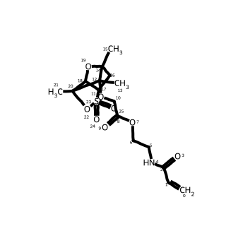 C=CC(=O)NCCOC(=O)COC1(C)C2(C)CC3C(O2)C1(C)OS3(=O)=O